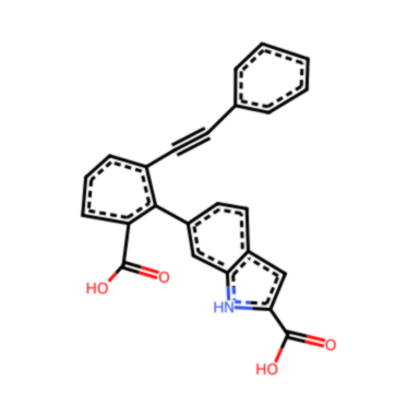 O=C(O)c1cc2ccc(-c3c(C#Cc4ccccc4)cccc3C(=O)O)cc2[nH]1